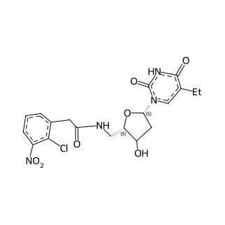 CCc1cn([C@@H]2CC(O)[C@H](CNC(=O)Cc3cccc([N+](=O)[O-])c3Cl)O2)c(=O)[nH]c1=O